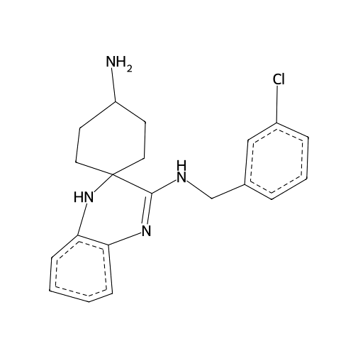 NC1CCC2(CC1)Nc1ccccc1N=C2NCc1cccc(Cl)c1